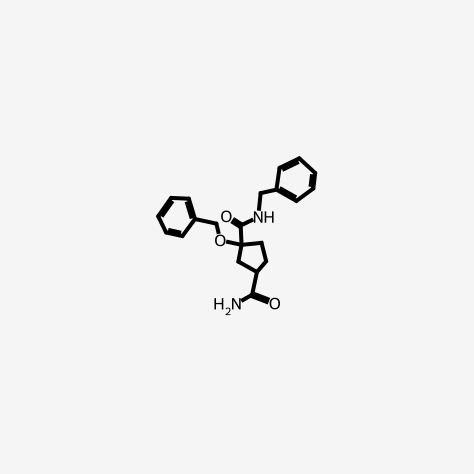 NC(=O)C1CCC(OCc2ccccc2)(C(=O)NCc2ccccc2)C1